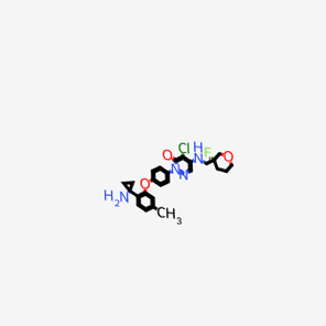 Cc1ccc(C2(N)CC2)c(Oc2ccc(-n3ncc(NC[C@@]4(F)CCCOC4)c(Cl)c3=O)cc2)c1